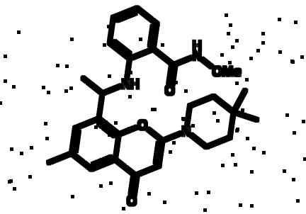 CONC(=O)c1ccccc1NC(C)c1cc(C)cc2c(=O)cc(N3CCC(C)(C)CC3)oc12